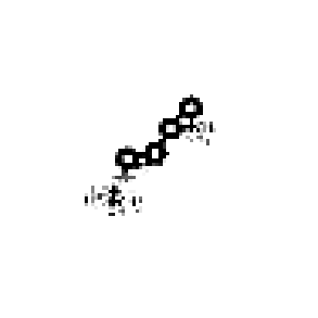 CC1(C)c2ccccc2-c2ccc(-c3ccc4sc5c(BOC(C)(C)C(C)(C)O)cccc5c4c3)cc21